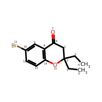 CCC1(CC)CC(=O)c2cc(Br)ccc2O1